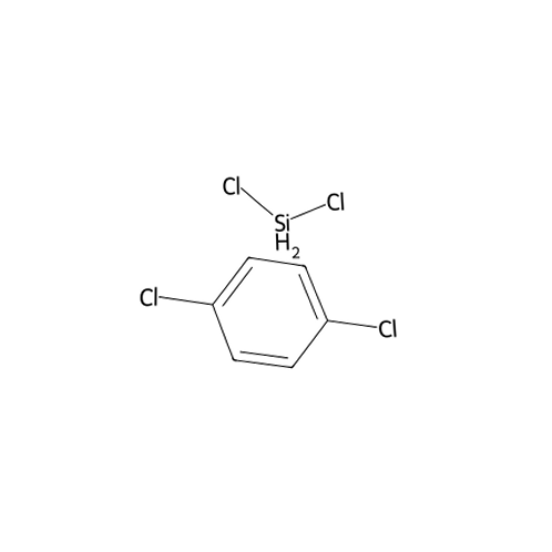 Cl[SiH2]Cl.Clc1ccc(Cl)cc1